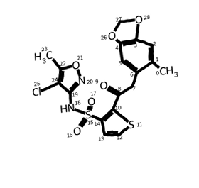 Cc1cc2c(cc1CC(=O)c1sccc1S(=O)(=O)Nc1noc(C)c1Cl)OCO2